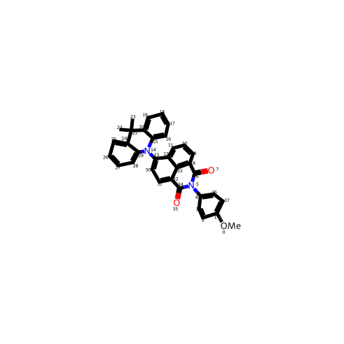 COc1ccc(N2C(=O)c3cccc4c(N5c6ccccc6C(C)(C)c6ccccc65)ccc(c34)C2=O)cc1